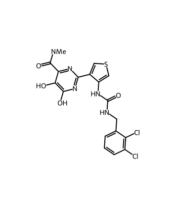 CNC(=O)c1nc(-c2cscc2NC(=O)NCc2cccc(Cl)c2Cl)nc(O)c1O